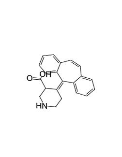 O=C(O)C1CNCCC1=C1c2ccccc2C=Cc2ccccc21